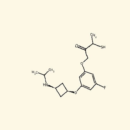 CC(C)N[C@H]1C[C@@H](Oc2cc(F)cc(OCC(=O)C(C)S)c2)C1